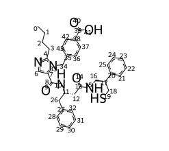 CCCCc1ncc(C(=O)N[C@H](CC(=O)NC[C@H](CS)c2ccccc2)Cc2ccccc2)n1Cc1ccc(C(=O)O)cc1